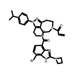 C=CC(=O)N1CCc2nn(-c3ccc(C(C)C)cc3)c3c2[C@H](C1)N(C(=O)c1ccc(Br)c2[nH]c(N4CCC4)nc12)CC3